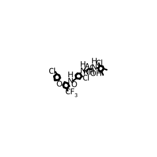 CC(=O)/C(NNc1ccc(C(=O)Nc2cc(Oc3ccc(Cl)cc3)cc(C(F)(F)F)c2)cc1Cl)=C(/O)Nc1cc(C)c(C)cc1Cl